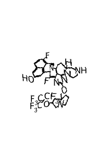 C#Cc1c(F)ccc2cc(O)cc(-c3nc4c5c(nc(OCC67CCCN6CC(OC(C(F)(F)F)(C(F)(F)F)C(F)(F)F)C7)nc5c3F)N3CCNC[C@H]3CC4)c12